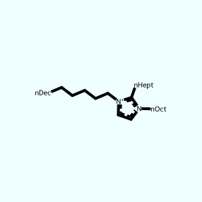 CCCCCCCCCCCCCCC[n+]1ccn(CCCCCCCC)c1CCCCCCC